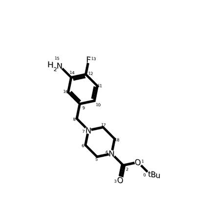 CC(C)(C)OC(=O)N1CCN(Cc2ccc(F)c(N)c2)CC1